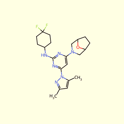 Cc1cc(C)n(-c2cc(N3CC4CCC(C3)O4)nc(NC3CCC(F)(F)CC3)n2)n1